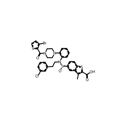 Cc1c(C(=O)O)sc2ccc([S+]([O-])N(CCc3cccc(Cl)c3)c3ccccc3N3CCN(C(=O)c4sccc4Br)CC3)cc12